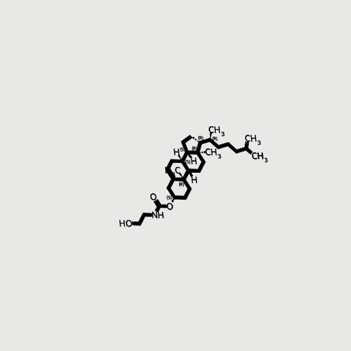 CC(C)CCC[C@@H](C)[C@H]1CC[C@H]2[C@@H]3CC=C4C[C@@H](OC(=O)NCCO)CC[C@]4(C)[C@H]3CC[C@]12C